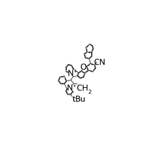 C=CC1C(C2c3ccc4c(oc5c(-c6ccc7ccccc7c6)c(C#N)ccc54)c3-c3cccc[n+]32)c2ccccc2-c2ccc(C(C)(C)C)c[n+]21